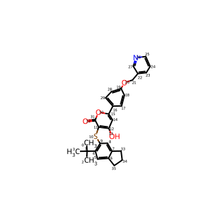 CC(C)(C)c1cc2c(cc1Sc1c(O)cc(-c3ccc(OCc4cccnc4)cc3)oc1=O)CCC2